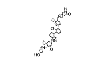 COc1cc(-n2ncc3c(-c4cccc(-c5ccc(CN6CC7(CNC(=O)C7)C6)c(OC)n5)c4Cl)cccc32)cc(OC)c1CN[C@H]1C[C@@H](O)C1